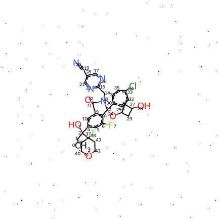 CC[C@](O)(c1cc(F)c2c(c1)C(=O)N(Cc1ncc(C#N)cn1)[C@@]2(OC1CC(O)C1)c1ccc(Cl)cc1)C1(F)CCOCC1